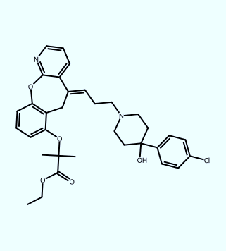 CCOC(=O)C(C)(C)Oc1cccc2c1CC(=CCCN1CCC(O)(c3ccc(Cl)cc3)CC1)c1cccnc1O2